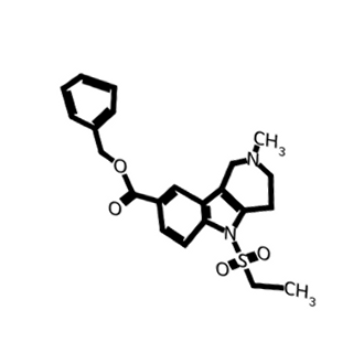 CCS(=O)(=O)n1c2c(c3cc(C(=O)OCc4ccccc4)ccc31)CN(C)CC2